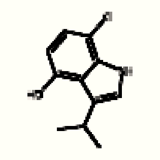 CC(C)c1c[nH]c2c(Cl)ccc(O)c12